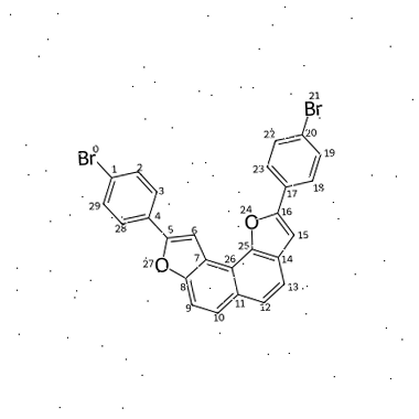 Brc1ccc(-c2cc3c(ccc4ccc5cc(-c6ccc(Br)cc6)oc5c43)o2)cc1